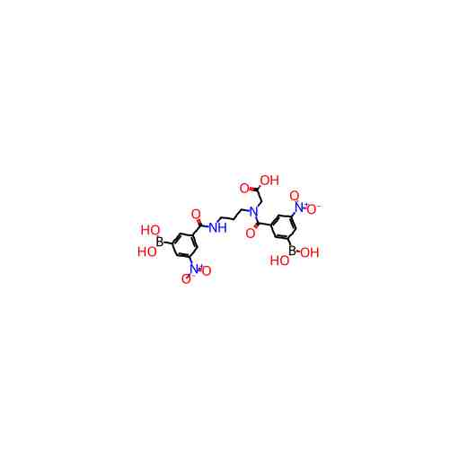 O=C(O)CN(CCCNC(=O)c1cc(B(O)O)cc([N+](=O)[O-])c1)C(=O)c1cc(B(O)O)cc([N+](=O)[O-])c1